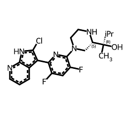 CC(C)[C@@](C)(O)[C@@H]1CN(c2nc(-c3c(Cl)[nH]c4ncccc34)c(F)cc2F)CCN1